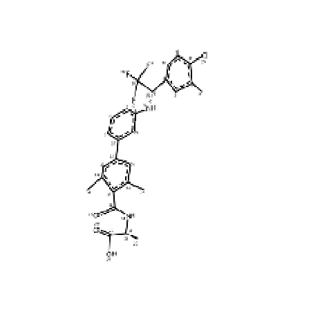 Cc1cc([C@H](Nc2cccc(-c3cc(C)c(C(=O)N[C@@H](C)C(=O)O)c(C)c3)c2)C(F)(F)F)ccc1Cl